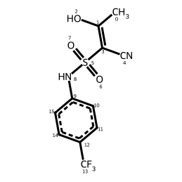 C/C(O)=C(\C#N)S(=O)(=O)Nc1ccc(C(F)(F)F)cc1